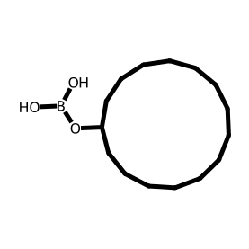 OB(O)OC1CCCCCCCCCCCCCC1